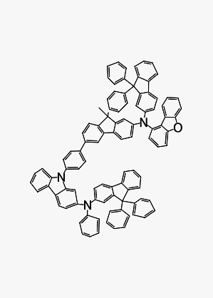 CC1(C)c2ccc(-c3ccc(-n4c5ccccc5c5ccc(N(c6ccccc6)c6ccc7c(c6)C(c6ccccc6)(c6ccccc6)c6ccccc6-7)cc54)cc3)cc2-c2ccc(N(c3ccc4c(c3)C(c3ccccc3)(c3ccccc3)c3ccccc3-4)c3cccc4oc5ccccc5c34)cc21